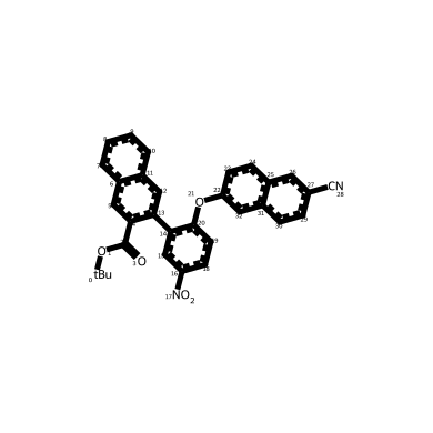 CC(C)(C)OC(=O)c1cc2ccccc2cc1-c1cc([N+](=O)[O-])ccc1Oc1ccc2cc(C#N)ccc2c1